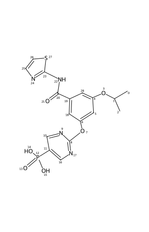 CC(C)Oc1cc(Oc2ncc(P(=O)(O)O)cn2)cc(C(=O)Nc2nccs2)c1